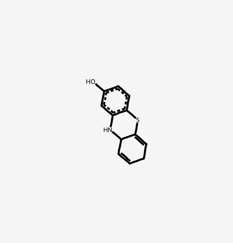 Oc1ccc2c(c1)NC1C=CCC=C1S2